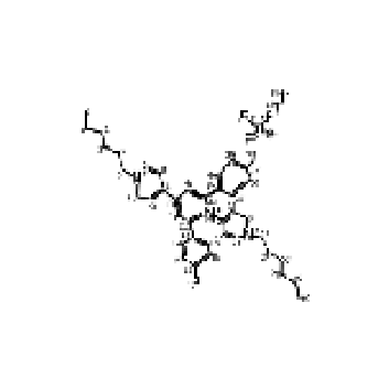 CCCCCC[n+]1ccc(-c2cc(-c3ccc(C)cc3)[n+](-c3cc[n+](CCCCCC)cc3)c(-c3ccc(C)cc3)c2)cc1.F[B-](F)(F)F.[I-].[I-]